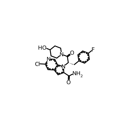 NC(=O)c1cc2cc(Cl)ncc2n1[C@@H](Cc1ccc(F)cc1)C(=O)N1CCC(O)CC1